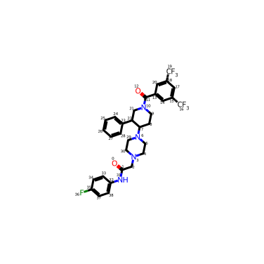 O=C(CN1CCN(C2CCN(C(=O)c3cc(C(F)(F)F)cc(C(F)(F)F)c3)CC2c2ccccc2)CC1)Nc1ccc(F)cc1